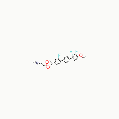 C/C=C/CCC1OCC(c2ccc(-c3ccc(-c4ccc(OCC)c(F)c4F)cc3)c(F)c2)CO1